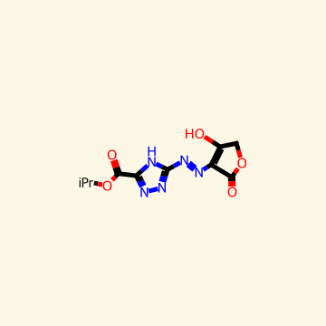 CC(C)OC(=O)c1nnc(N=NC2=C(O)COC2=O)[nH]1